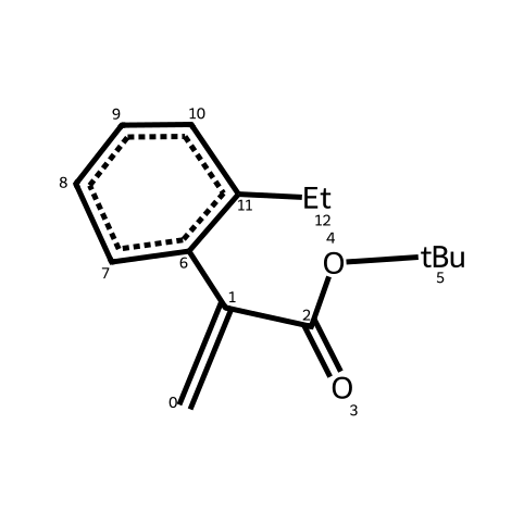 C=C(C(=O)OC(C)(C)C)c1ccccc1CC